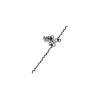 CCCCCCCCCCCCCCCCCCCCCC(=O)O[C@H](COC(=O)CCCCCCCCCC)COP(=O)(O)OCC[N+](C)(C)C